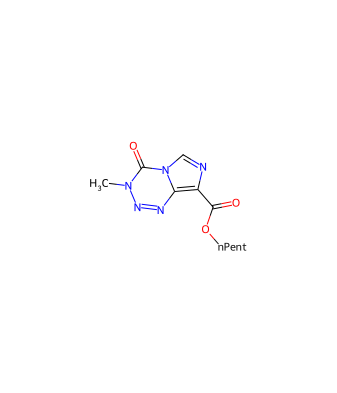 CCCCCOC(=O)c1ncn2c(=O)n(C)nnc12